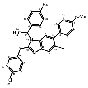 COc1ccc(-c2cc3c(cc2F)nc(Cc2ccc(Cl)nc2)n3C(C)c2ccc(F)cc2)cn1